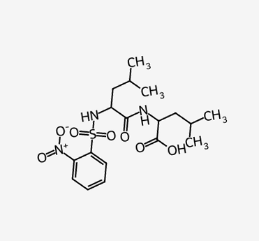 CC(C)CC(NC(=O)C(CC(C)C)NS(=O)(=O)c1ccccc1[N+](=O)[O-])C(=O)O